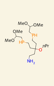 CCCOC(CCN)(CCPCC(OC)OC)CCPCC(OC)OC